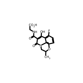 CC1Cn2c(=O)c(C(=O)NCC(=O)O)c(O)c3c(F)ccc(c32)O1